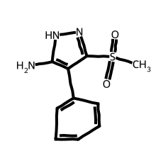 CS(=O)(=O)c1n[nH]c(N)c1-c1ccccc1